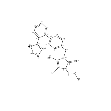 CCCc1c(C)n(CCC(C)C)c(=O)n1Cc1ccc(-c2ccccc2-c2nnn[nH]2)nc1